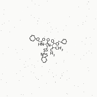 C=C(C)C(C(=O)OCc1ccccc1)N1C(=O)C(NC(=O)COc2ccccc2)C1SSc1nc2ccccc2s1